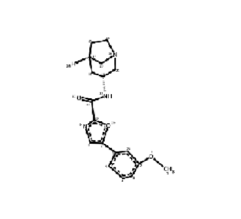 COc1cccc(-c2cnc(C(=O)N[C@@H]3C[C@@H]4CCN(C4)C3)o2)c1